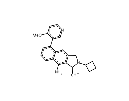 COc1ccncc1-c1cccc2c(N)c3c(nc12)CN(C1CCC1)C3C=O